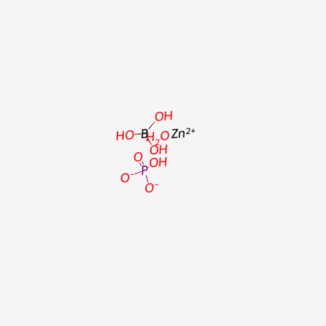 O.O=P([O-])([O-])O.OB(O)O.[Zn+2]